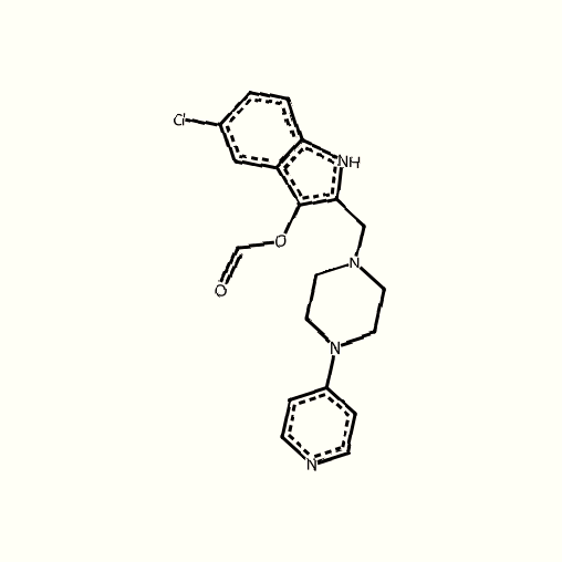 O=COc1c(CN2CCN(c3ccncc3)CC2)[nH]c2ccc(Cl)cc12